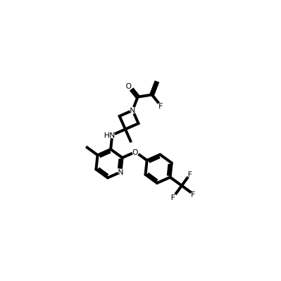 C=C(F)C(=O)N1CC(C)(Nc2c(C)ccnc2Oc2ccc(C(F)(F)F)cc2)C1